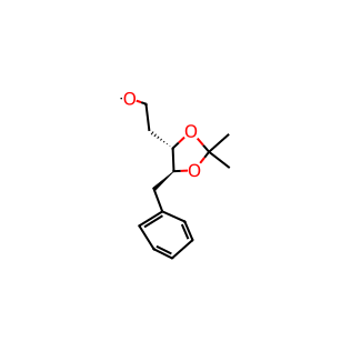 CC1(C)O[C@@H](CC[O])[C@H](Cc2ccccc2)O1